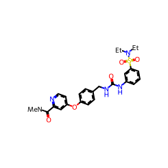 CCN(CC)S(=O)(=O)c1cccc(NC(=O)NCc2ccc(Oc3ccnc(C(=O)NC)c3)cc2)c1